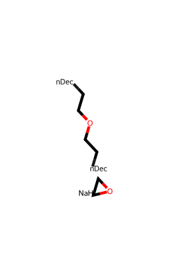 C1CO1.CCCCCCCCCCCCOCCCCCCCCCCCC.[NaH]